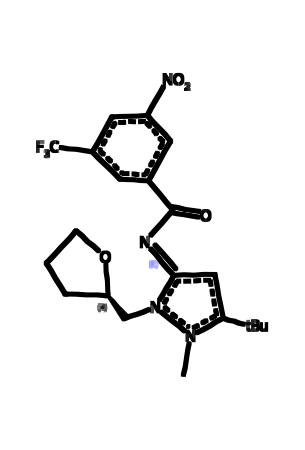 Cn1c(C(C)(C)C)c/c(=N\C(=O)c2cc([N+](=O)[O-])cc(C(F)(F)F)c2)n1C[C@H]1CCCO1